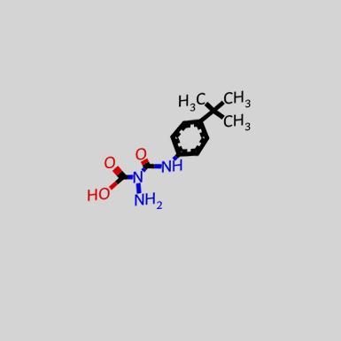 CC(C)(C)c1ccc(NC(=O)N(N)C(=O)O)cc1